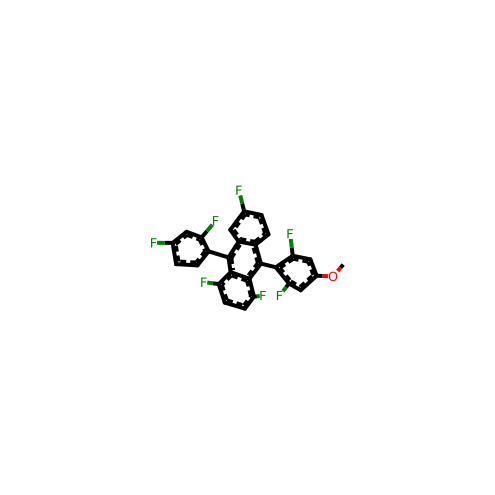 COc1cc(F)c(-c2c3ccc(F)cc3c(-c3ccc(F)cc3F)c3c(F)ccc(F)c23)c(F)c1